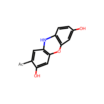 CC(=O)c1cc2c(cc1O)Oc1cc(O)ccc1N2